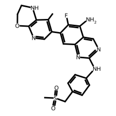 Cc1c(-c2cc3nc(Nc4ccc(CS(C)(=O)=O)cc4)ncc3c(N)c2F)cnc2c1NCCO2